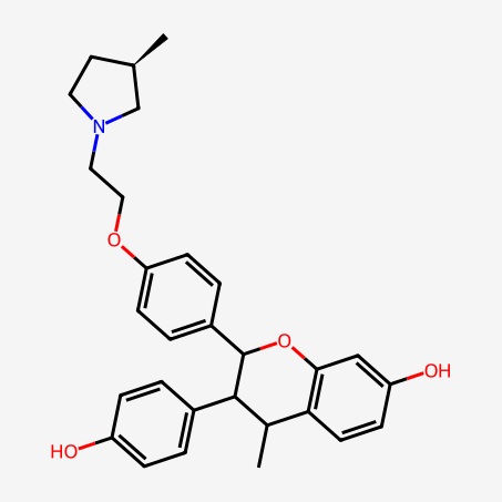 CC1c2ccc(O)cc2OC(c2ccc(OCCN3CC[C@@H](C)C3)cc2)C1c1ccc(O)cc1